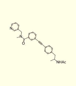 CC(=O)NC(C)Cc1ccc(C#Cc2cccc(C(=O)N(C)Cc3cccnc3)c2)cc1